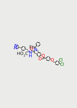 CC[C@@H](c1ccccc1)N1Cc2cc3c(cc2C[C@H]1C(=O)NC(Cc1ccc(-c2cnn(C)c2)cc1)C(=O)O)OC[C@H](c1ccc(OCc2ccc(Cl)c(Cl)c2)cc1)O3